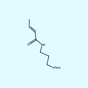 CC=CC(=O)NCCCCCCCC